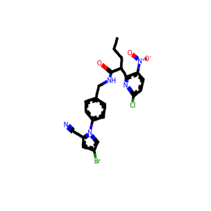 CCCC(C(=O)NCc1ccc(-n2cc(Br)cc2C#N)cc1)c1nc(Cl)ccc1[N+](=O)[O-]